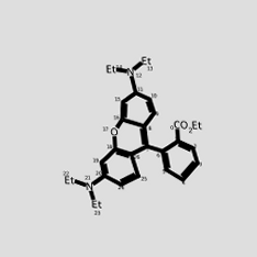 CCOC(=O)c1ccccc1C1=C2C=CC(N(CC)CC)C=C2Oc2cc(N(CC)CC)ccc21